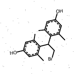 Cc1cc(O)cc(C)c1C(CBr)c1c(C)cc(O)cc1C